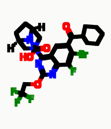 O=C(c1cc2c(N3C[C@H]4CC[C@@H](C3)N4C(=O)O)nc(OCC(F)(F)F)nc2c(F)c1Br)C1CCCCC1